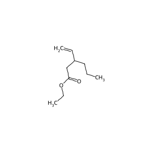 C=CC(CCC)CC(=O)OCC